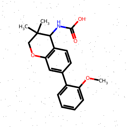 COc1ccccc1-c1ccc2c(c1)OCC(C)(C)C2NC(=O)O